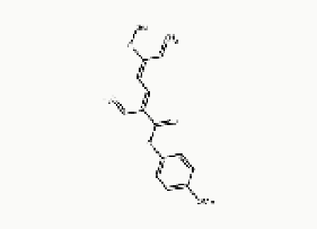 C=C/C(=C\C=C(/C=C)C(=O)Oc1ccc(OC)cc1)OC(C)(C)C